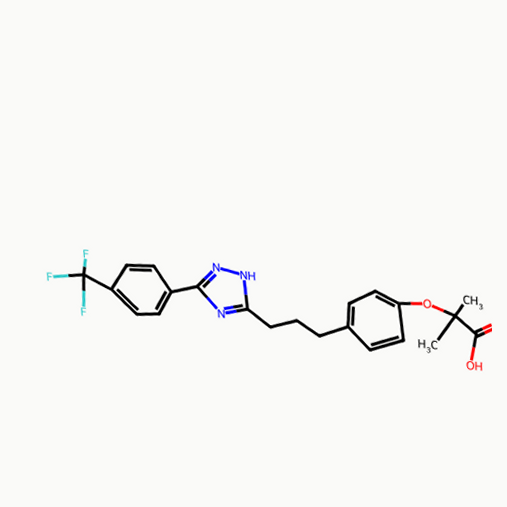 CC(C)(Oc1ccc(CCCc2nc(-c3ccc(C(F)(F)F)cc3)n[nH]2)cc1)C(=O)O